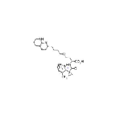 C/C=C(\C(=N/C(C)C)C1(C(=O)NC(CCOCCCCc2ccc3c(n2)NCCC3)C(=O)O)CC1)C(F)(F)F